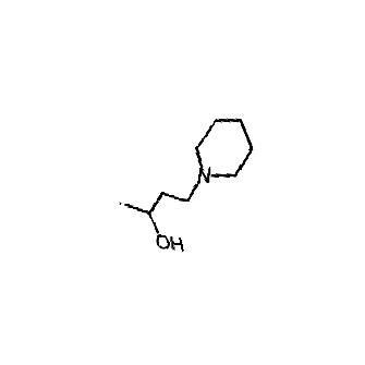 [CH2]C(O)CCN1CCCCC1